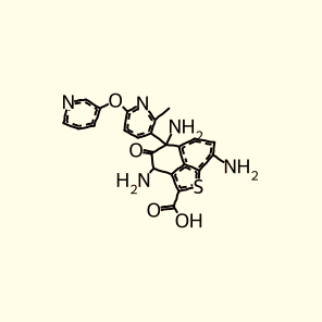 Cc1nc(Oc2cccnc2)ccc1C1(N)C(=O)C(N)c2c(C(=O)O)sc3c(N)ccc1c23